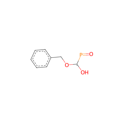 O=P[C](O)OCc1ccccc1